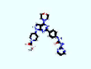 CC(C)(C)OC(=O)N1CCC(n2ncc3c(N4CCOCC4)nc(-c4ccc(NC(=O)Nc5ncccn5)cc4)nc32)CC1